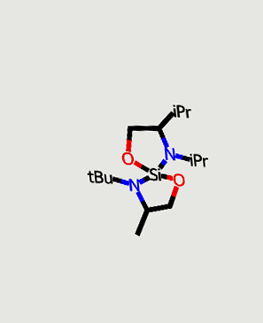 CC(C)C1CO[Si]2(OCC(C)N2C(C)(C)C)N1C(C)C